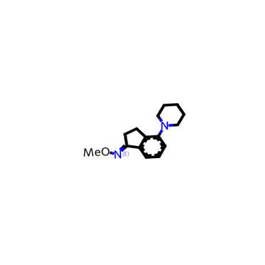 CO/N=C1\CCc2c1cccc2N1CCCCC1